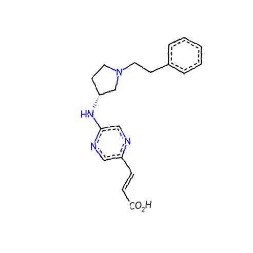 O=C(O)/C=C/c1cnc(N[C@@H]2CCN(CCc3ccccc3)C2)cn1